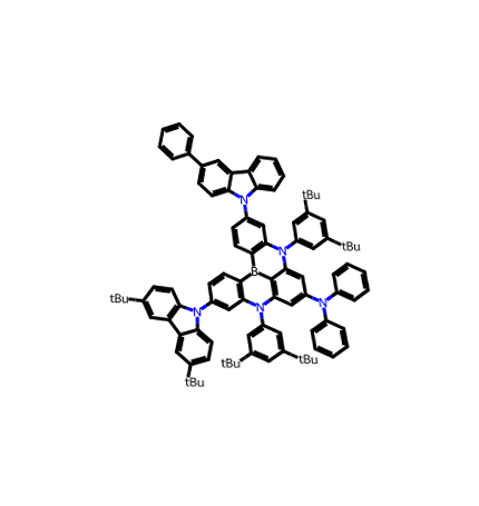 CC(C)(C)c1cc(N2c3cc(-n4c5ccccc5c5cc(-c6ccccc6)ccc54)ccc3B3c4ccc(-n5c6ccc(C(C)(C)C)cc6c6cc(C(C)(C)C)ccc65)cc4N(c4cc(C(C)(C)C)cc(C(C)(C)C)c4)c4cc(N(c5ccccc5)c5ccccc5)cc2c43)cc(C(C)(C)C)c1